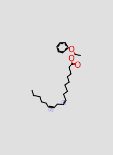 CCCCC/C=C\C/C=C\CCCCCCCC(=O)OC(C)Oc1ccccc1